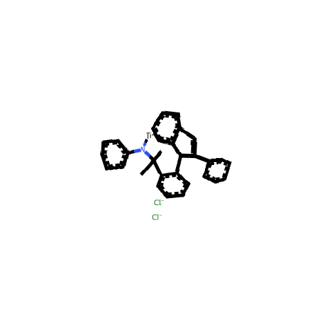 CC(C)(c1ccccc1C1C(c2ccccc2)=Cc2ccccc21)[N]([Ti+2])c1ccccc1.[Cl-].[Cl-]